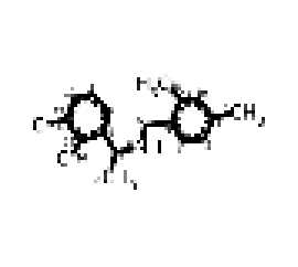 Cc1ccc(CNC(C)c2cccc(Cl)c2Cl)c(C)c1